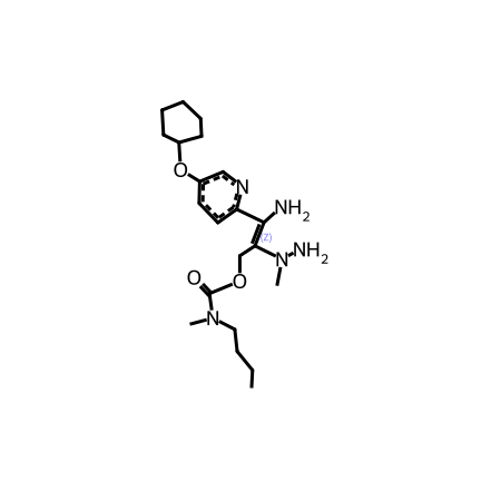 CCCCN(C)C(=O)OC/C(=C(/N)c1ccc(OC2CCCCC2)cn1)N(C)N